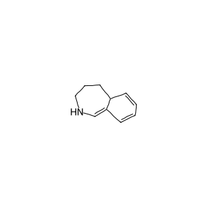 C1=CC2=CNCCCC2C=C1